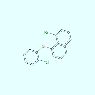 Clc1ccccc1Sc1cccc2cccc(Br)c12